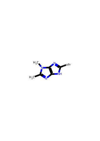 CCCc1nc2c(nc(C)n2C)[nH]1